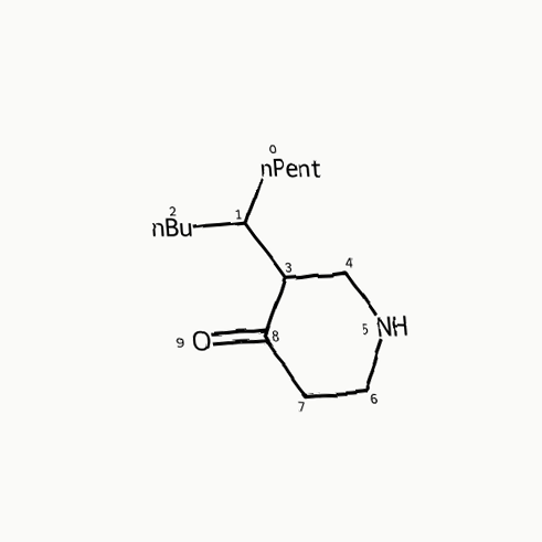 CCCCCC(CCCC)C1CNCCC1=O